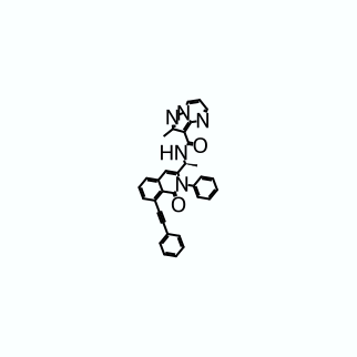 Cc1nn2cccnc2c1C(=O)N[C@@H](C)c1cc2cccc(C#Cc3ccccc3)c2c(=O)n1-c1ccccc1